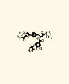 CC(=O)c1nc(-c2ccc(C[C@@H](CC(=O)N(C)C)NC(=O)c3ccc(O[C@H](C)C(F)(F)F)c(Cl)c3)cc2)cn1C